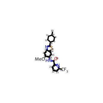 COc1cc2nc(C3CCC(C)CC3)sc2cc1NC(=O)c1cccc(C(F)(F)F)n1